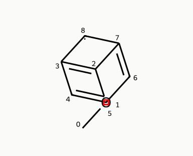 COc1c2cccc1[CH]2